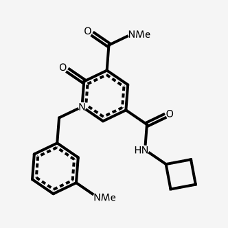 CNC(=O)c1cc(C(=O)NC2CCC2)cn(Cc2cccc(NC)c2)c1=O